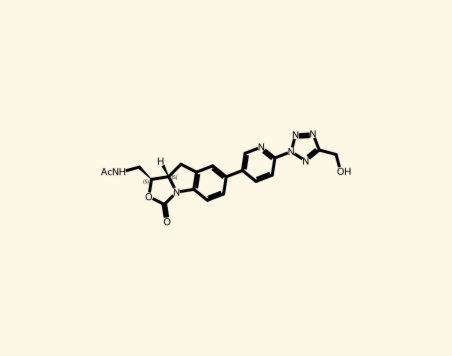 CC(=O)NC[C@@H]1OC(=O)N2c3ccc(-c4ccc(-n5nnc(CO)n5)nc4)cc3C[C@@H]12